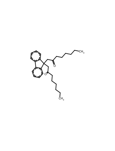 CCCCCCC(=O)CC1(CC(=O)CCCCCC)c2ccccc2-c2ccccc21